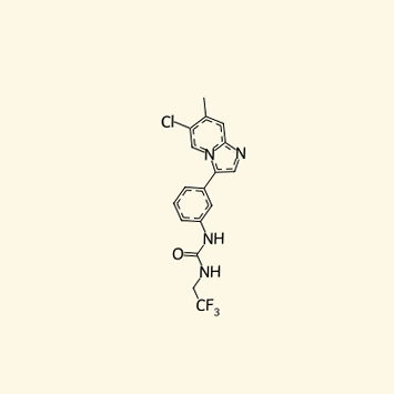 Cc1cc2ncc(-c3cccc(NC(=O)NCC(F)(F)F)c3)n2cc1Cl